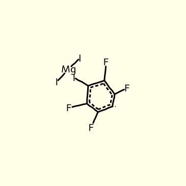 Fc1[c]c(F)c(F)c(I)c1F.[I][Mg][I]